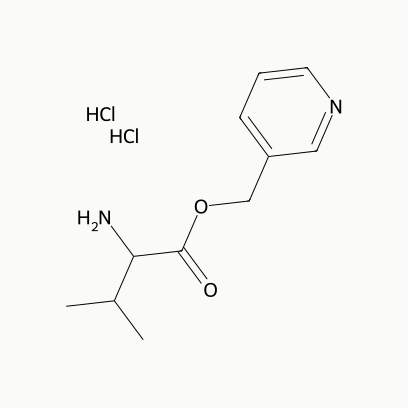 CC(C)C(N)C(=O)OCc1cccnc1.Cl.Cl